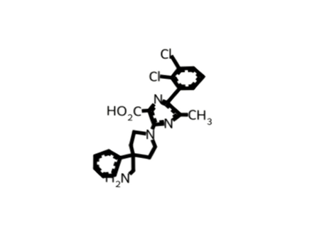 Cc1nc(N2CCC(CN)(c3ccccc3)CC2)c(C(=O)O)nc1-c1cccc(Cl)c1Cl